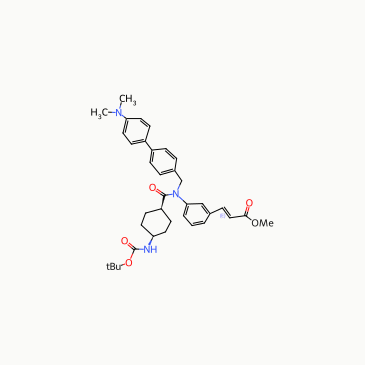 COC(=O)/C=C/c1cccc(N(Cc2ccc(-c3ccc(N(C)C)cc3)cc2)C(=O)[C@H]2CC[C@@H](NC(=O)OC(C)(C)C)CC2)c1